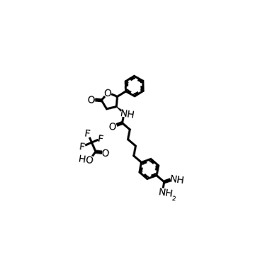 N=C(N)c1ccc(CCCCC(=O)N[C@H]2CC(=O)OC2c2ccccc2)cc1.O=C(O)C(F)(F)F